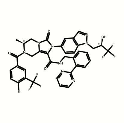 C[C@H]1Cn2c(c(C(=O)NCc3ccccc3-c3ncccn3)n(-c3ccc4c(cnn4C[C@@H](O)C(F)(F)F)c3)c2=O)CN1C(=O)c1ccc(Br)c(C(F)(F)F)c1